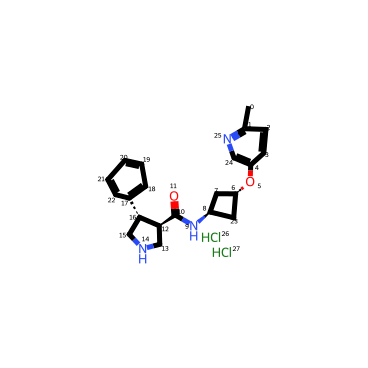 Cc1ccc(O[C@H]2C[C@H](NC(=O)[C@H]3CNC[C@@H]3c3ccccc3)C2)cn1.Cl.Cl